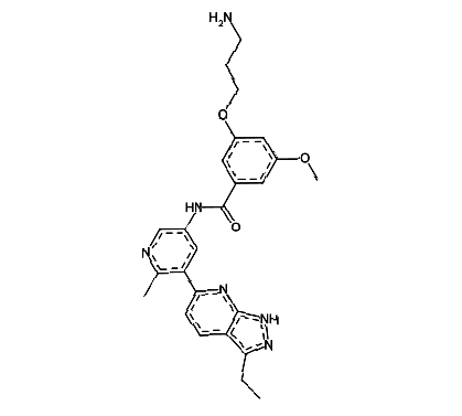 CCc1n[nH]c2nc(-c3cc(NC(=O)c4cc(OC)cc(OCCCN)c4)cnc3C)ccc12